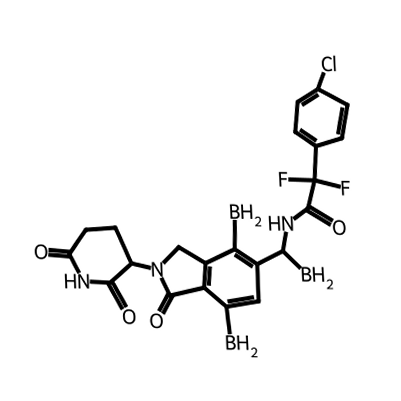 Bc1cc(C(B)NC(=O)C(F)(F)c2ccc(Cl)cc2)c(B)c2c1C(=O)N(C1CCC(=O)NC1=O)C2